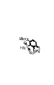 COc1ccc2snnc2c1S([NH-])(=O)=O.[Na+]